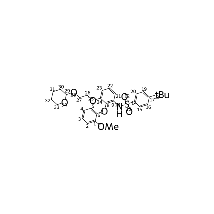 COc1ccccc1Oc1c(NS(=O)(=O)c2ccc(C(C)(C)C)cc2)cccc1OCCOC1CCCCO1